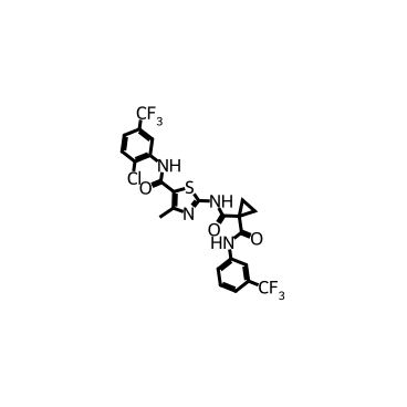 Cc1nc(NC(=O)C2(C(=O)Nc3cccc(C(F)(F)F)c3)CC2)sc1C(=O)Nc1cc(C(F)(F)F)ccc1Cl